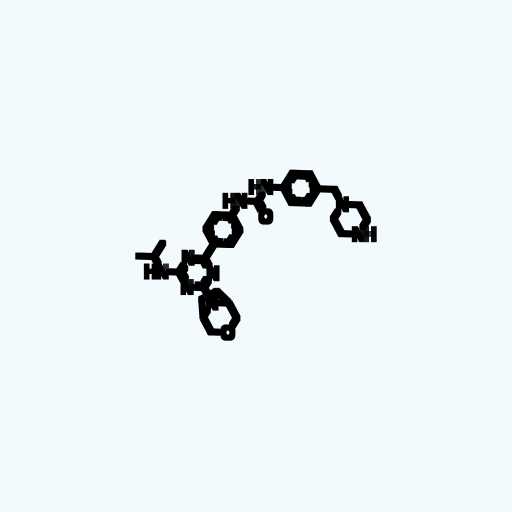 CC(C)Nc1nc(-c2ccc(NC(=O)Nc3ccc(CN4CCNCC4)cc3)cc2)nc(N2C3CCC2COC3)n1